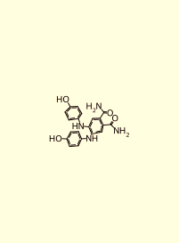 NC(=O)c1cc(Nc2ccc(O)cc2)c(Nc2ccc(O)cc2)cc1C(N)=O